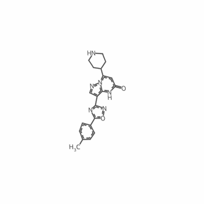 Cc1ccc(-c2nc(-c3cnn4c(C5CCNCC5)cc(=O)[nH]c34)no2)cc1